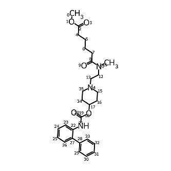 COC(=O)CCCCC(=O)N(C)CCN1CCC(OC(=O)Nc2ccccc2-c2ccccc2)CC1